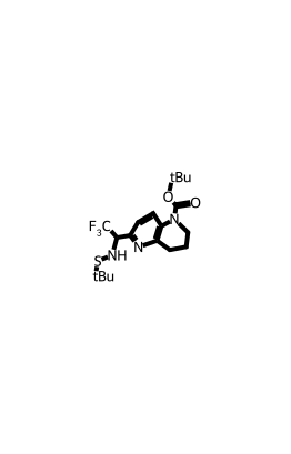 CC(C)(C)OC(=O)N1CCCc2nc(C(NSC(C)(C)C)C(F)(F)F)ccc21